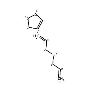 C1=CSSC1.C=CCSCC=C